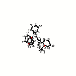 C[Si](C)(C)O[Si](O[SiH](c1ccccc1)c1ccccc1)(c1ccccc1)c1ccccc1